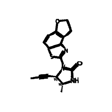 CC#C[C@@H]1[C@@H](C)NC(=O)N1c1nc2c3c(ccc2s1)OCC3